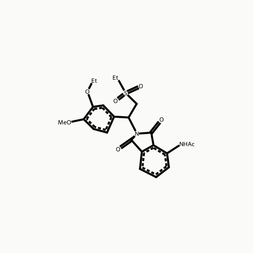 CCOc1cc(C(CS(=O)(=O)CC)N2C(=O)c3cccc(NC(C)=O)c3C2=O)ccc1OC